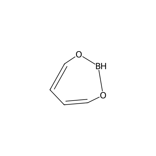 B1OC=CC=CO1